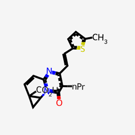 CCCc1c(/C=C/c2ccc(C)s2)nc2n(c1=O)C1CC1(C(=O)O)C=C2